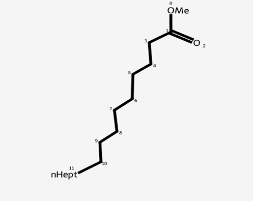 [CH2]OC(=O)CCCCCCCCCCCCCCC